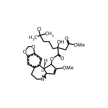 COC(=O)CC(O)(CCCC(C)(C)Cl)C(=O)OC1C(OC)=CC23CCCN2CCc2cc4c(cc2[C@H]13)OCO4